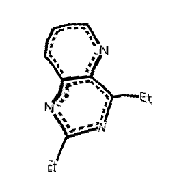 CCc1nc(CC)c2ncccc2n1